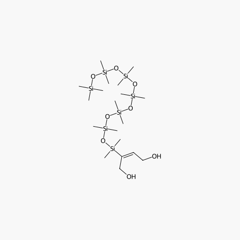 C[Si](C)(C)O[Si](C)(C)O[Si](C)(C)O[Si](C)(C)O[Si](C)(C)O[Si](C)(C)O[Si](C)(C)C(=CCO)CO